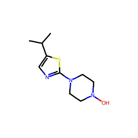 CC(C)c1cnc(N2CCN(O)CC2)s1